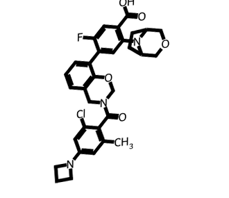 Cc1cc(N2CCC2)cc(Cl)c1C(=O)N1COc2c(cccc2-c2cc(N3C4CCC3COC4)c(C(=O)O)cc2F)C1